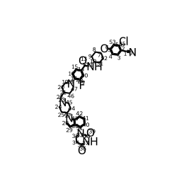 N#Cc1ccc(OC2CCC(NC(=O)c3ccc(N4CCC(CN5CCC(n6ccc7c(N8CCC(=O)NC8=O)cccc76)CC5)CC4)c(F)c3)CC2)cc1Cl